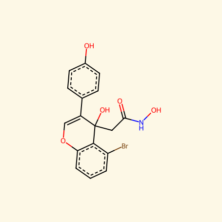 O=C(CC1(O)C(c2ccc(O)cc2)=COc2cccc(Br)c21)NO